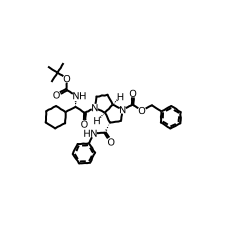 CC(C)(C)OC(=O)N[C@H](C(=O)N1CC[C@@H]2[C@H]1[C@@H](C(=O)Nc1ccccc1)CN2C(=O)OCc1ccccc1)C1CCCCC1